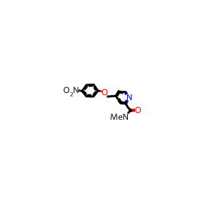 CNC(=O)c1cc(COc2ccc([N+](=O)[O-])cc2)ccn1